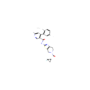 COc1ccc(C#N)cc1-c1cc(C)ncc1C(=O)Nc1nc2c(s1)CN(C(=O)[C@@H]1CC1(F)F)CC2